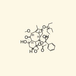 CC[Si](CC)(CC)O[C@H]1C[C@@]2(O)[C@@H](OC(=O)c3ccccc3)C3[C@](C)(C(=O)[C@H](OC)C(=C1C)C2(C)C)[C@@H](O)C[C@H]1OC[C@@]31OC(C)=O